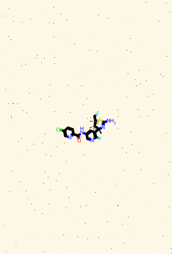 C[C@@H]1[C@@](C)(CF)SC(N)=N[C@]1(C)c1cc(NC(=O)c2ccc(Cl)cn2)cnc1F